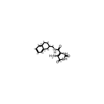 Nc1c(C(=O)NCC2CCc3ccccc3C2)[nH]c(=O)[nH]c1=O